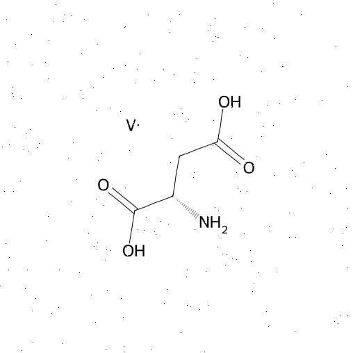 N[C@@H](CC(=O)O)C(=O)O.[V]